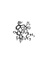 CCOC(=O)C1(C)Cc2c(Br)ccc(-n3c(=O)cc(C(F)(F)F)n(C)c3=O)c2O1